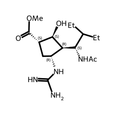 CCC(CC)[C@H](NC(C)=O)[C@@H]1[C@H](O)[C@@H](C(=O)OC)C[C@H]1NC(=N)N